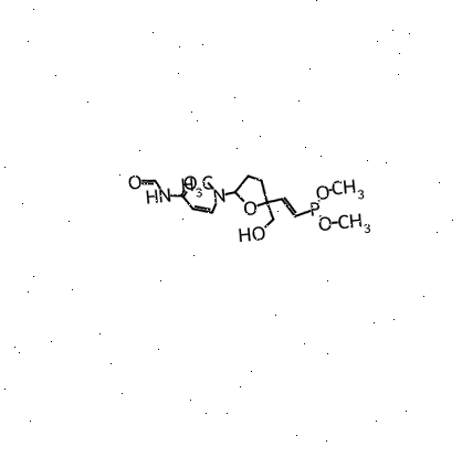 COP(/C=C/C1(CO)CCC(N(C)/C=C\C(=O)NC=O)O1)OC